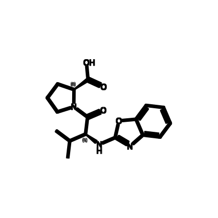 CC(C)[C@H](Nc1nc2ccccc2o1)C(=O)N1CCC[C@H]1C(=O)O